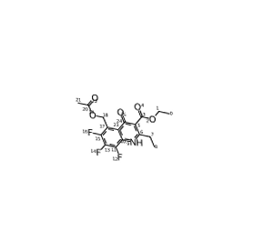 CCOC(=O)c1c(CC)[nH]c2c(F)c(F)c(F)c(COC(C)=O)c2c1=O